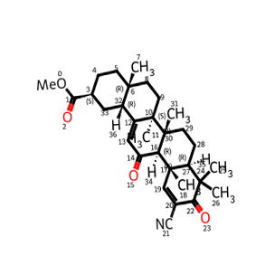 COC(=O)[C@H]1CC[C@]2(C)CC[C@]3(C)C(=CC(=O)[C@@H]4[C@@]5(C)C=C(C#N)C(=O)C(C)(C)[C@@H]5CC[C@]43C)[C@@H]2C1